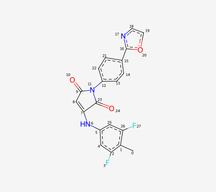 Cc1c(F)cc(NC2=CC(=O)N(c3ccc(-c4ncco4)cc3)C2=O)cc1F